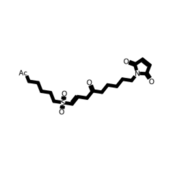 CC(=O)CCCCCS(=O)(=O)/C=C/CC(=O)CCCCCN1C(=O)C=CC1=O